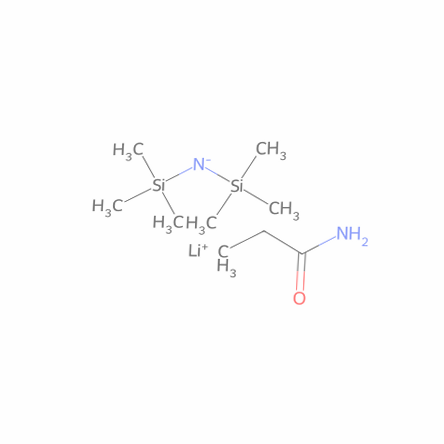 CCC(N)=O.C[Si](C)(C)[N-][Si](C)(C)C.[Li+]